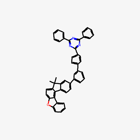 CC1(C)c2cc(-c3cccc(-c4ccc(-c5nc(-c6ccccc6)nc(-c6ccccc6)n5)cc4)c3)ccc2-c2c1ccc1oc3ccccc3c21